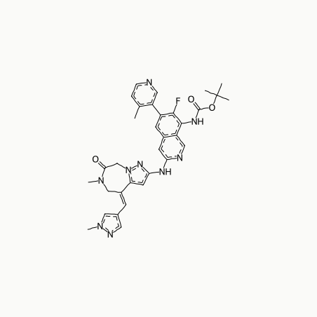 Cc1ccncc1-c1cc2cc(Nc3cc4n(n3)CC(=O)N(C)C/C4=C\c3cnn(C)c3)ncc2c(NC(=O)OC(C)(C)C)c1F